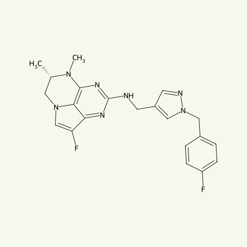 C[C@H]1Cn2cc(F)c3nc(NCc4cnn(Cc5ccc(F)cc5)c4)nc(c32)N1C